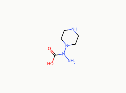 NN(C(=O)O)N1CCNCC1